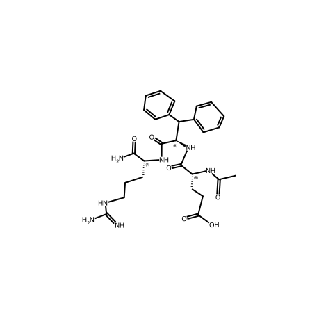 CC(=O)N[C@H](CCC(=O)O)C(=O)N[C@@H](C(=O)N[C@H](CCCNC(=N)N)C(N)=O)C(c1ccccc1)c1ccccc1